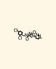 Cc1ccc(N2CC(C(=O)NCc3ccc(Cl)cc3Cl)N(C)C2=O)nn1